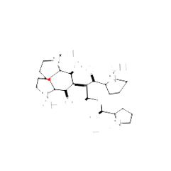 CN1CCCC1C(=O)OC(=O)C(C(=O)C1CCCN1C)=C(C(=O)C1CCCN1C)C(=O)C1CCCN1C